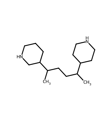 CC(CCC(C)C1CCCNC1)C1CCNCC1